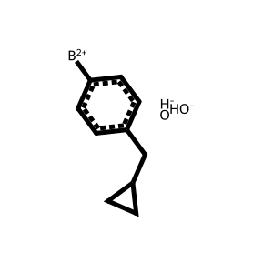 [B+2]c1ccc(CC2CC2)cc1.[OH-].[OH-]